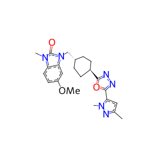 COc1ccc2c(c1)n(C[C@H]1CC[C@H](c3nnc(-c4cc(C)nn4C)o3)CC1)c(=O)n2C